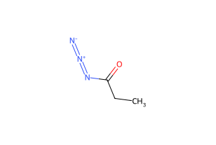 CCC(=O)N=[N+]=[N-]